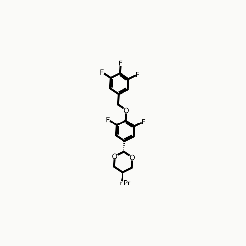 CCC[C@H]1CO[C@H](c2cc(F)c(OCc3cc(F)c(F)c(F)c3)c(F)c2)OC1